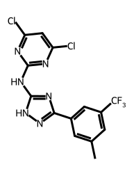 Cc1cc(-c2n[nH]c(Nc3nc(Cl)cc(Cl)n3)n2)cc(C(F)(F)F)c1